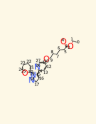 CCOC(=O)CCCCCOc1ccc(-c2ccnn2C2CCCCO2)nc1